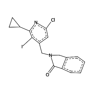 O=C1c2ccccc2CN1Cc1cc(Cl)nc(C2CC2)c1I